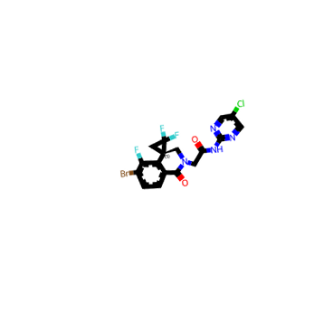 O=C(CN1C[C@]2(CC2(F)F)c2c(ccc(Br)c2F)C1=O)Nc1ncc(Cl)cn1